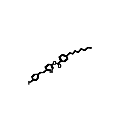 CCCCCCCCc1ccc(C(=O)Oc2ccc(CCc3ccc(F)cc3)nc2)cc1